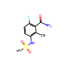 CCCS(=O)(=O)Nc1ccc(F)c(C(N)=O)c1C#N